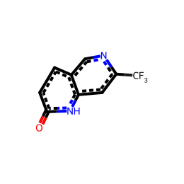 O=c1ccc2cnc(C(F)(F)F)cc2[nH]1